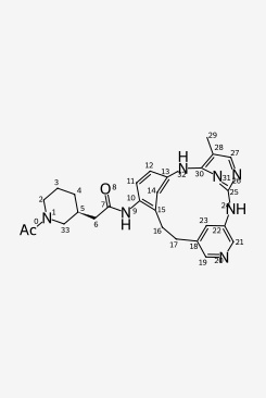 CC(=O)N1CCC[C@@H](CC(=O)Nc2ccc3cc2CCc2cncc(c2)Nc2ncc(C)c(n2)N3)C1